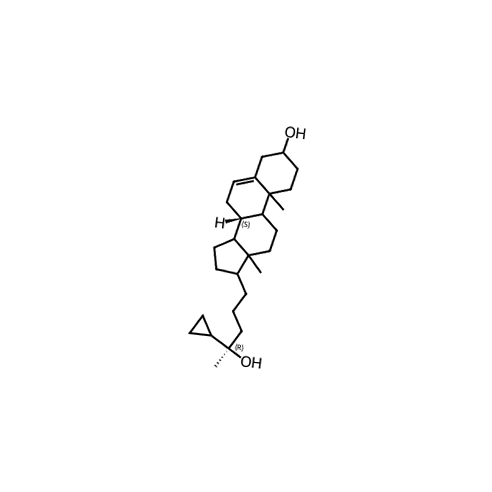 CC12CCC(O)CC1=CC[C@@H]1C2CCC2(C)C(CCC[C@@](C)(O)C3CC3)CCC12